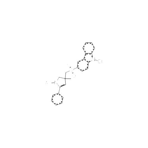 CCn1c2ccccc2c2cc(S(=O)(=O)CC3(C)C=C(c4ccccc4)N(C(C)=O)C3)ccc21